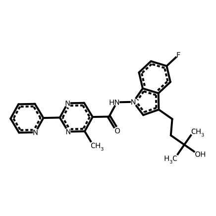 Cc1nc(-c2ccccn2)ncc1C(=O)Nn1cc(CCC(C)(C)O)c2cc(F)ccc21